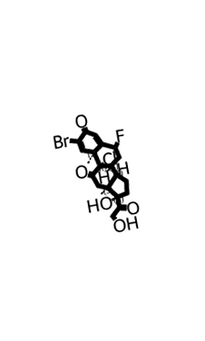 C[C@]12C=C(Br)C(=O)C=C1C(F)C[C@H]1[C@@H]3CC[C@](O)(C(=O)CO)[C@@]3(C)CC(=O)[C@@]12Cl